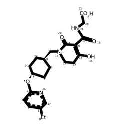 CCc1ccc(O[C@H]2CC[C@H](CN3CCC(O)=C(C(=O)NCC(=O)O)C3=O)CC2)nc1